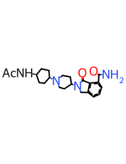 CC(=O)N[C@H]1CC[C@@H](N2CCC(N3Cc4cccc(C(N)=O)c4C3=O)CC2)CC1